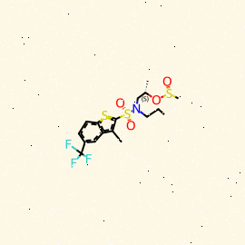 CCCN(C[C@H](C)OS(C)=O)S(=O)(=O)c1sc2ccc(C(F)(F)F)cc2c1C